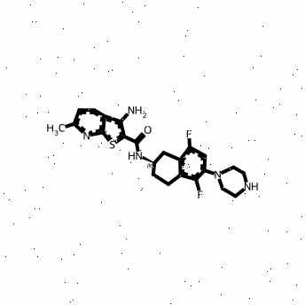 Cc1ccc2c(N)c(C(=O)N[C@@H]3CCc4c(F)c(N5CCNCC5)cc(F)c4C3)sc2n1